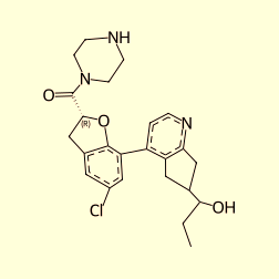 CCC(O)C1Cc2nccc(-c3cc(Cl)cc4c3O[C@@H](C(=O)N3CCNCC3)C4)c2C1